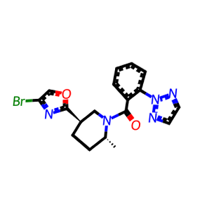 C[C@@H]1CC[C@@H](c2nc(Br)co2)CN1C(=O)c1ccccc1-n1nccn1